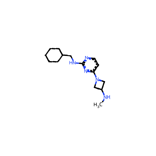 CNC1CN(c2ccnc(NCC3CCCCC3)n2)C1